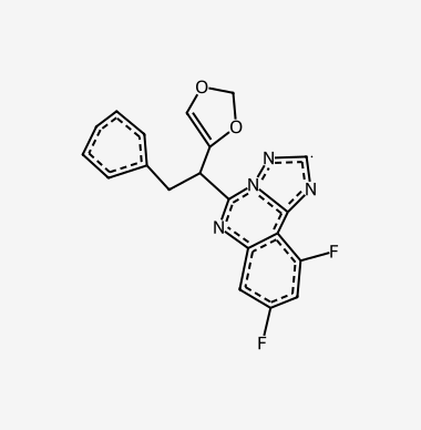 Fc1cc(F)c2c(c1)nc(C(Cc1ccccc1)C1=COCO1)n1n[c]nc21